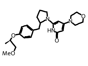 COC[C@@H](C)Oc1ccc(CC2CCCN2c2cc(N3CCOCC3)cc(=O)[nH]2)cc1